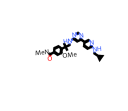 CNC(=O)c1ccc(C(C)(C)CNc2cc(-c3ccc(NCC4CC4)nc3)ncn2)c(OC)c1